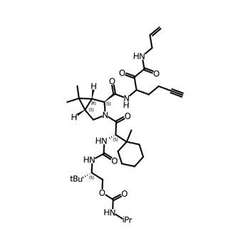 C#CCCC(NC(=O)[C@@H]1[C@@H]2[C@H](CN1C(=O)[C@@H](NC(=O)N[C@H](COC(=O)NC(C)C)C(C)(C)C)C1(C)CCCCC1)C2(C)C)C(=O)C(=O)NCC=C